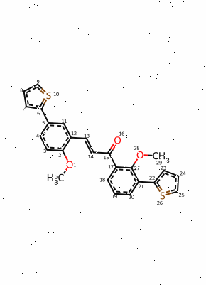 COc1ccc(-c2cccs2)cc1C=CC(=O)c1cccc(-c2cccs2)c1OC